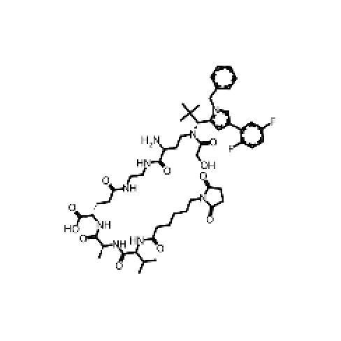 CC(C)C(NC(=O)CCCCCN1C(=O)CCC1=O)C(=O)N[C@@H](C)C(=O)N[C@@H](CCC(=O)NCCNC(=O)[C@@H](N)CCN(C(=O)CO)[C@@H](c1cc(-c2cc(F)ccc2F)cn1Cc1ccccc1)C(C)(C)C)C(=O)O